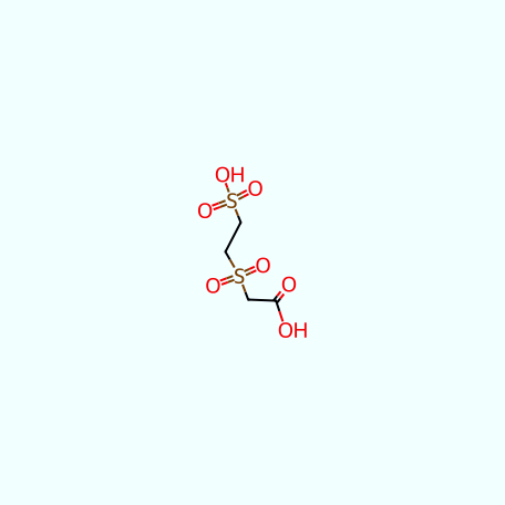 O=C(O)CS(=O)(=O)CCS(=O)(=O)O